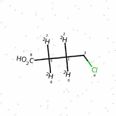 [2H]C([2H])(CCl)C([2H])([2H])C(=O)O